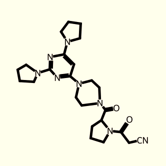 N#CCC(=O)N1CCCC1C(=O)N1CCN(c2cc(N3CCCC3)nc(N3CCCC3)n2)CC1